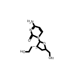 Nc1ccn(C2OC(CO)C[C@@H]2CCO)c(=O)n1